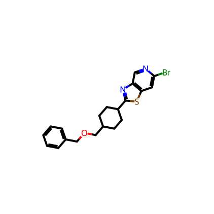 Brc1cc2sc(C3CCC(COCc4ccccc4)CC3)nc2cn1